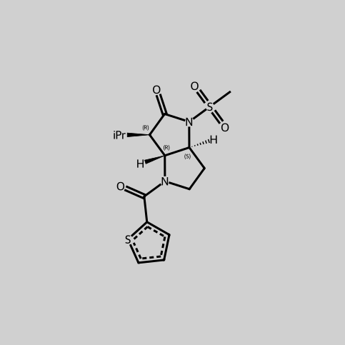 CC(C)[C@H]1C(=O)N(S(C)(=O)=O)[C@H]2CCN(C(=O)c3cccs3)[C@H]12